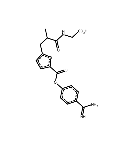 CC(Cc1ccc(C(=O)Oc2ccc(C(=N)N)cc2)s1)C(=O)NCC(=O)O